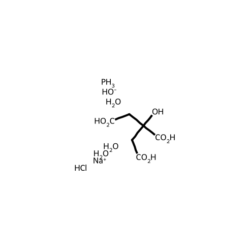 Cl.O.O.O.O=C(O)CC(O)(CC(=O)O)C(=O)O.P.[Na+].[OH-]